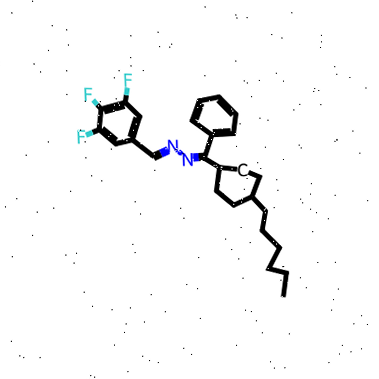 CCCCCCC1CCC(C(=NN=Cc2cc(F)c(F)c(F)c2)c2ccccc2)CC1